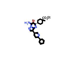 CCOC(=O)[C@]1(C)CC[C@H](c2nc3c(-c4ccc(-c5ccccc5)nc4)cnn3c(N)c2Br)CC1